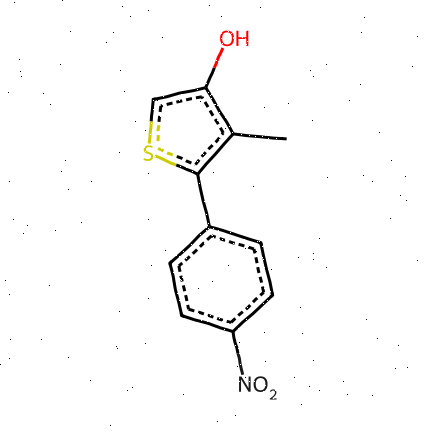 Cc1c(O)csc1-c1ccc([N+](=O)[O-])cc1